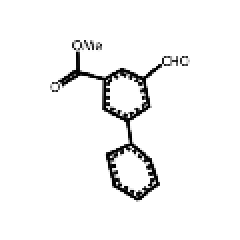 COC(=O)c1cc(C=O)cc(-c2ccccc2)c1